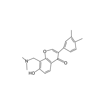 Cc1ccc(-c2coc3c(CN(C)C)c(O)ccc3c2=O)cc1C